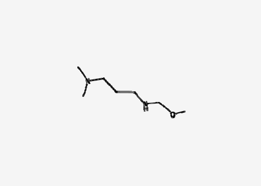 COCNCCCN(C)C